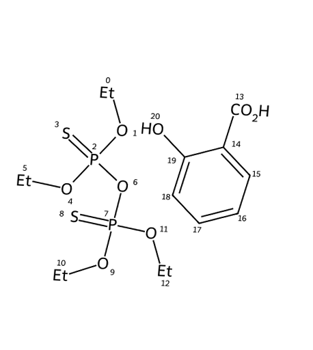 CCOP(=S)(OCC)OP(=S)(OCC)OCC.O=C(O)c1ccccc1O